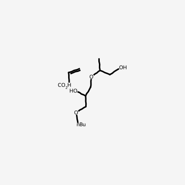 C=CC(=O)O.CCCCOCC(O)COC(C)CO